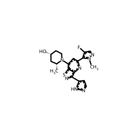 C[C@@H]1C[C@H](O)CCN1c1cc(-c2c(F)cnn2C)nc2c(-c3ccn[nH]3)nsc12